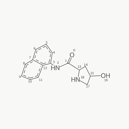 O=C(Nc1cccc2ccccc12)C1CC(O)CN1